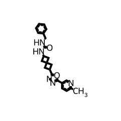 Cc1ccc(-c2nnc(C3CC4(CC(NC(=O)NCc5ccccc5)C4)C3)o2)cn1